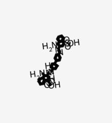 Nc1c(N=Nc2ccc(-c3ccc(NNc4cc(S(=O)(=O)O)c5ccccc5c4N)cc3)cc2)cc(S(=O)(=O)O)c2ccccc12